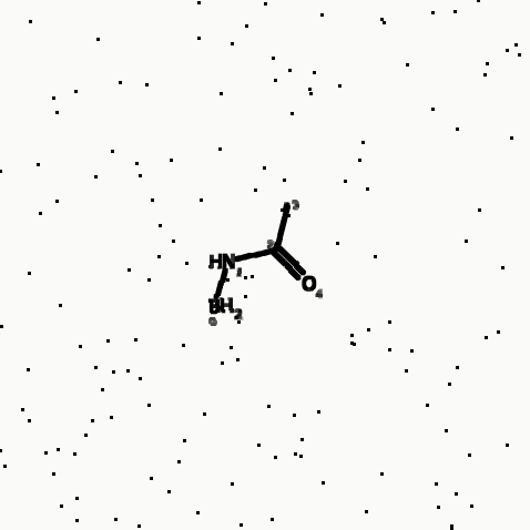 BNC(C)=O